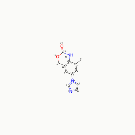 Cc1cc(-n2ccnc2)cc2c1NC(=O)OC2